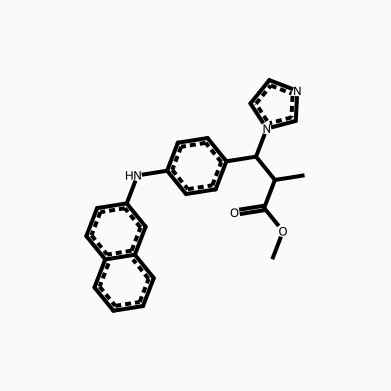 COC(=O)C(C)C(c1ccc(Nc2ccc3ccccc3c2)cc1)n1ccnc1